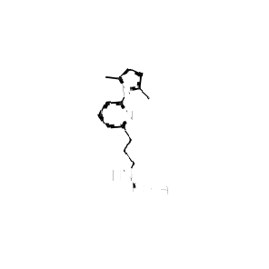 Cc1ccc(C)n1-c1cccc(CCCNC(=O)O)n1